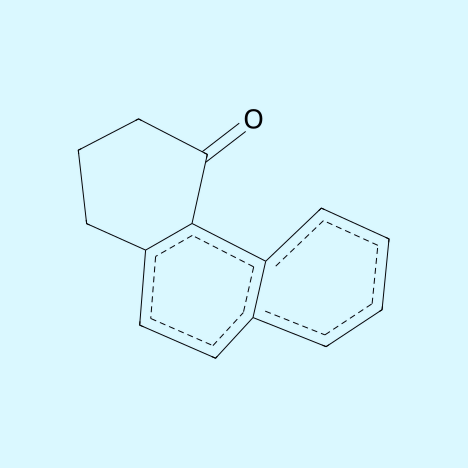 O=C1CCCc2ccc3ccccc3c21